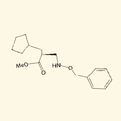 COC(=O)[C@H](CNOCc1ccccc1)CC1CCCC1